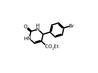 CCOC(=O)C1=CNC(=O)NC1c1ccc(Br)cc1